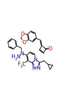 NN(Cc1ccccc1)c1ccn2c(CC3CC3)nnc2c1C(F)(F)F.O=C1C=CC1=Cc1ccc2c(c1)OCO2